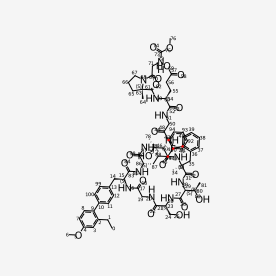 CCc1cc(OC)ccc1-c1ccc(C[C@H](NC(=O)CNC(=O)[C@H](CO)NC(=O)[C@@H](NC(=O)[C@](C)(Cc2ccccc2F)NC(=O)[C@@H](NC(=O)CNC(=O)[C@H](CCC(=O)O)NC(=O)[C@]2(C)CCCN2C(=O)CNC(=O)OC)[C@@H](C)O)[C@@H](C)O)C(=O)N[C@@H](CCCc2ccccc2)C(N)=O)cc1